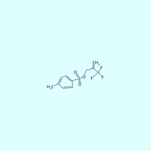 C=C(COS(=O)(=O)c1ccc(C)cc1)C(F)(F)F